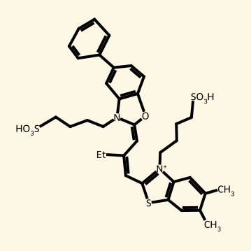 CCC(=Cc1sc2cc(C)c(C)cc2[n+]1CCCCS(=O)(=O)O)C=C1Oc2ccc(-c3ccccc3)cc2N1CCCCS(=O)(=O)O